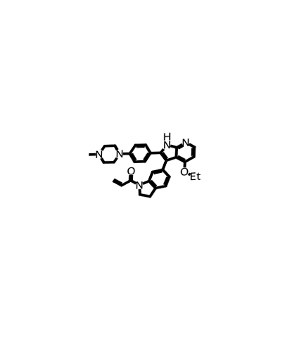 C=CC(=O)N1CCc2ccc(-c3c(-c4ccc(N5CCN(C)CC5)cc4)[nH]c4nccc(OCC)c34)cc21